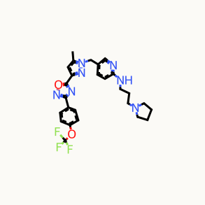 Cc1cc(-c2nc(-c3ccc(OC(F)(F)F)cc3)no2)nn1Cc1ccc(NCCCN2CCCC2)nc1